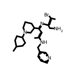 C/C(Br)=C(CN)/N=C(\C=C(/C)NCc1cccnc1)C1CCCN(C2CCC(C)CC2)C1